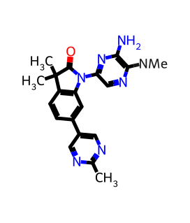 CNc1ncc(N2C(=O)C(C)(C)c3ccc(-c4cnc(C)nc4)cc32)nc1N